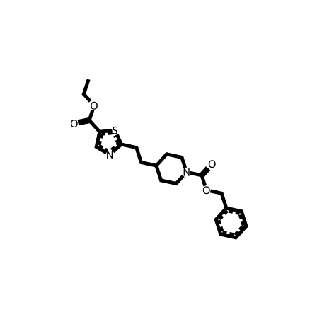 CCOC(=O)c1cnc(CCC2CCN(C(=O)OCc3ccccc3)CC2)s1